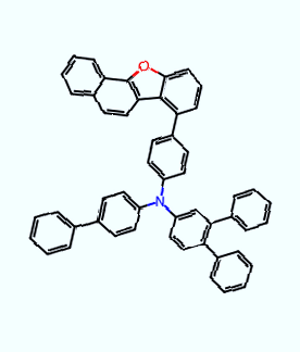 c1ccc(-c2ccc(N(c3ccc(-c4cccc5oc6c7ccccc7ccc6c45)cc3)c3ccc(-c4ccccc4)c(-c4ccccc4)c3)cc2)cc1